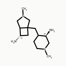 CN1CCC(CC23C[C@H](N)C2CN(C)C3)[C@@H](N)C1